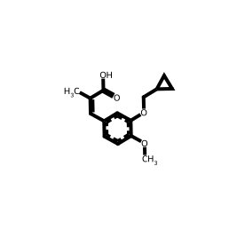 COc1ccc(C=C(C)C(=O)O)cc1OCC1CC1